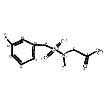 CN(CC(=O)O)S(=O)(=O)Cc1cccc(F)c1